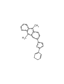 Cc1c2ccccc2c(C)c2cc(-c3ccc(C4=CCCC=C4)s3)ccc12